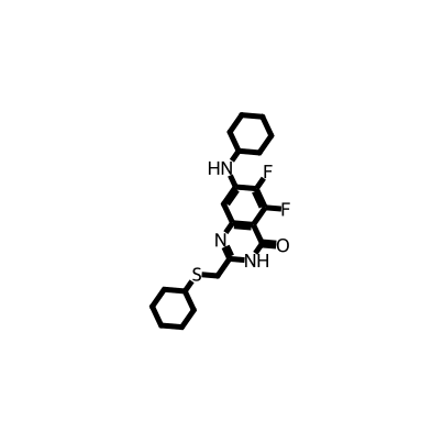 O=c1[nH]c(CSC2CCCCC2)nc2cc(NC3CCCCC3)c(F)c(F)c12